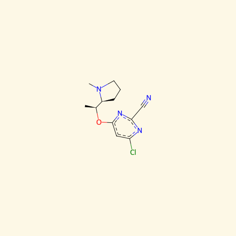 C[C@H](Oc1cc(Cl)nc(C#N)n1)[C@@H]1CCCN1C